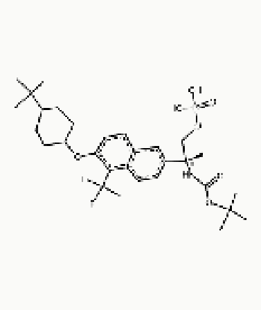 CC(C)(C)OC(=O)N[C@@](C)(COP(=O)(O)O)c1ccc2c(C(F)(F)F)c(OC3CCC(C(C)(C)C)CC3)ccc2c1